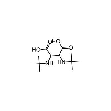 CC(C)(C)NC(C(=O)O)C(NC(C)(C)C)C(=O)O